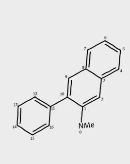 CNc1cc2ccccc2cc1-c1ccccc1